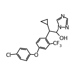 OC(C(c1ccc(Oc2ccc(Cl)cc2)cc1C(F)(F)F)C1CC1)n1cncn1